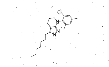 CCCCCCCc1c2c(nn1C)N(c1c(C)cc(C)cc1Cl)CCC2